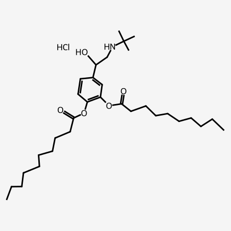 CCCCCCCCCC(=O)Oc1ccc(C(O)CNC(C)(C)C)cc1OC(=O)CCCCCCCCC.Cl